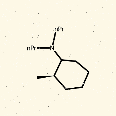 CCCN(CCC)C1CCCC[C@H]1C